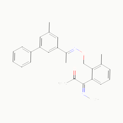 CNC(=O)/C(=N/OC)c1cccc(C)c1CO/N=C(\C)c1cc(C)cc(-c2ccccc2)c1